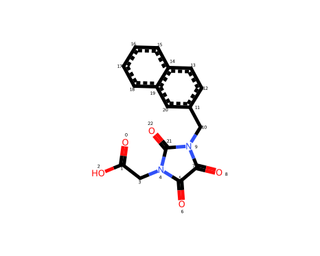 O=C(O)CN1C(=O)C(=O)N(Cc2ccc3ccccc3c2)C1=O